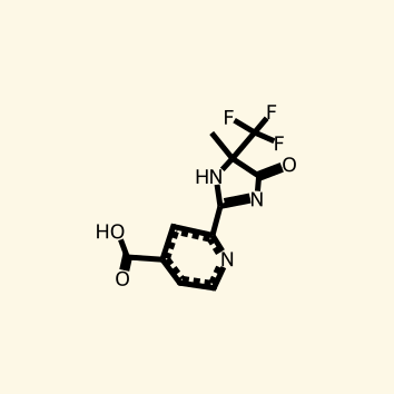 CC1(C(F)(F)F)NC(c2cc(C(=O)O)ccn2)=NC1=O